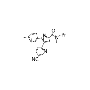 Cc1ccc(-n2nc(C(=O)N(C)C(C)C)cc2-c2ccc(C#N)cn2)cn1